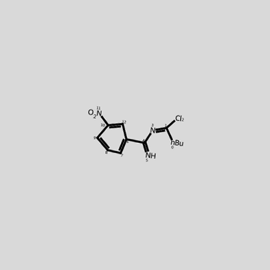 CCCC/C(Cl)=N\C(=N)c1cccc([N+](=O)[O-])c1